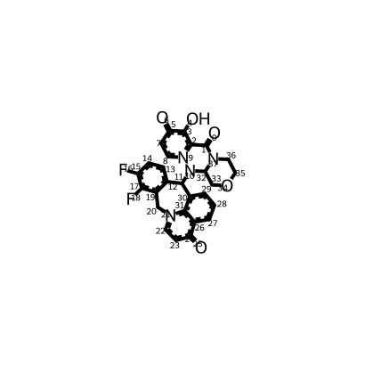 O=C1c2c(O)c(=O)ccn2N(C2c3ccc(F)c(F)c3Cn3ccc(=O)c4cccc2c43)C2COCCN12